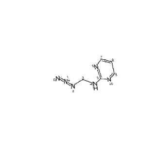 [N-]=[N+]=NCNc1ncccn1